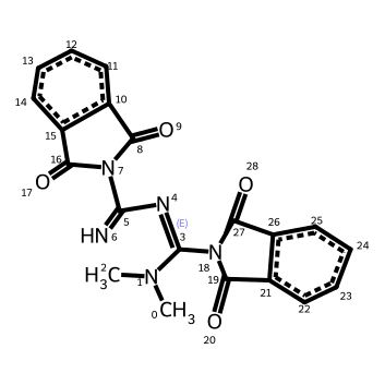 CN(C)/C(=N\C(=N)N1C(=O)c2ccccc2C1=O)N1C(=O)c2ccccc2C1=O